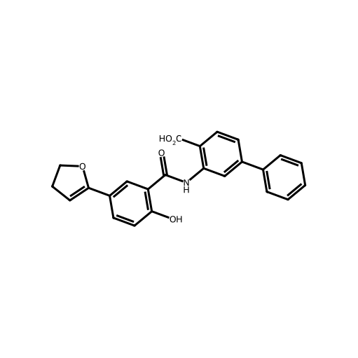 O=C(Nc1cc(-c2ccccc2)ccc1C(=O)O)c1cc(C2=CCCO2)ccc1O